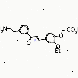 CCOc1cc(/C=C/C(=O)c2cccc(CCN)c2)ccc1OCC(=O)O